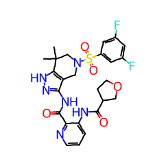 CC1(C)CN(S(=O)(=O)c2cc(F)cc(F)c2)Cc2c(NC(=O)c3ncccc3NC(=O)C3CCOC3)n[nH]c21